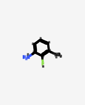 Nc1cccc([N+](=O)[O-])c1F